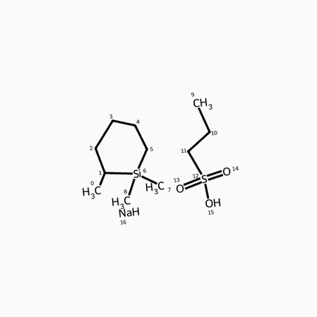 CC1CCCC[Si]1(C)C.CCCS(=O)(=O)O.[NaH]